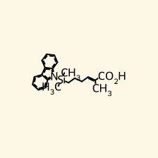 CC(=CCCC[Si](C)(C)n1c2ccccc2c2ccccc21)C(=O)O